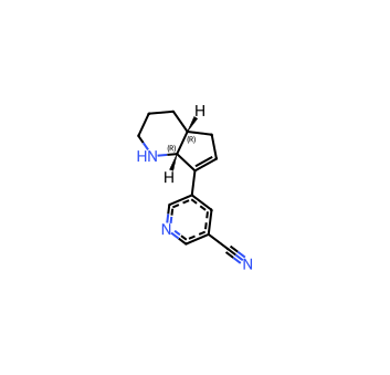 N#Cc1cncc(C2=CC[C@H]3CCCN[C@@H]23)c1